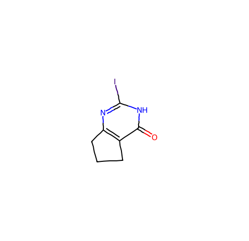 O=c1[nH]c(I)nc2c1CCC2